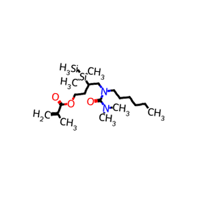 C=C(C)C(=O)OCCC(CN(CCCCCC)C(=O)N(C)C)[Si](C)(C)[SiH3]